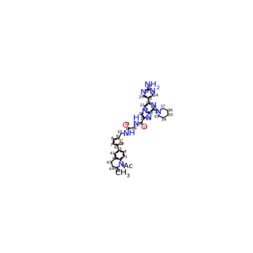 CC(=O)N1c2ccc(-c3ccc(CNC(=O)CNC(=O)c4cn5cc(-c6cnc(N)nc6)nc(N6CCCCC6)c5n4)s3)cc2CCC1C